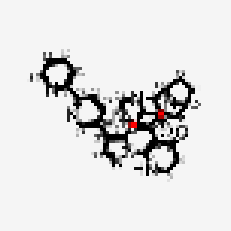 O=C1CCNc2c1c(C1CC3CCC(C1)N3C(=O)c1nnc[nH]1)nc1c(-c3ccc(-c4ccccn4)nc3)cnn21